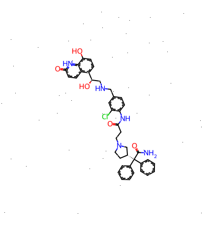 NC(=O)C(c1ccccc1)(c1ccccc1)[C@@H]1CCN(CCC(=O)Nc2ccc(CNC[C@@H](O)c3ccc(O)c4[nH]c(=O)ccc34)cc2Cl)C1